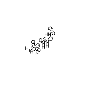 COc1cc(C(=O)NC(=S)Nc2cccc(NC(=O)c3cccs3)c2)cc(OC)c1OC